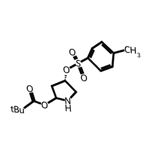 Cc1ccc(S(=O)(=O)O[C@@H]2CNC(OC(=O)C(C)(C)C)C2)cc1